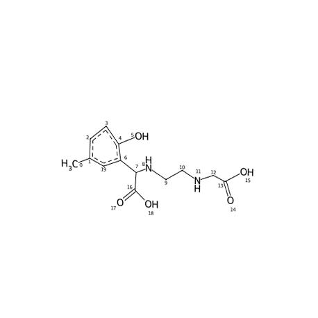 Cc1ccc(O)c(C(NCCNCC(=O)O)C(=O)O)c1